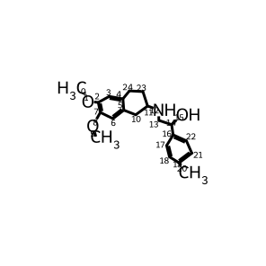 COc1cc2c(cc1OC)CC(NCC(O)c1ccc(C)cc1)CC2